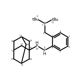 CC(C)(C)P(Cc1ccccc1PPC12CC3CC(CC(C3)C1)C2)C(C)(C)C